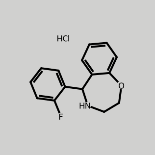 Cl.Fc1ccccc1C1NCCOc2ccccc21